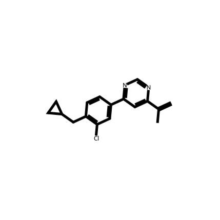 C=C(C)c1cc(-c2ccc(CC3CC3)c(Cl)c2)ncn1